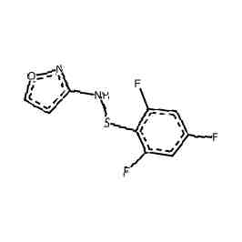 Fc1cc(F)c(SNc2ccon2)c(F)c1